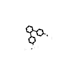 CNc1ccc(-c2ccccc2-c2ccc(NC)cc2)cc1